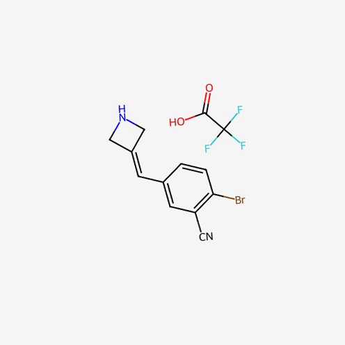 N#Cc1cc(C=C2CNC2)ccc1Br.O=C(O)C(F)(F)F